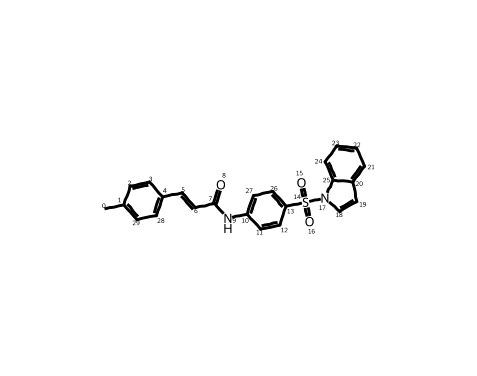 Cc1ccc(C=CC(=O)Nc2ccc(S(=O)(=O)n3ccc4ccccc43)cc2)cc1